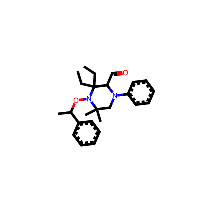 CCC1(CC)C(C=O)N(c2ccccc2)CC(C)(C)N1OC(C)c1ccccc1